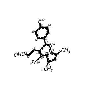 Cc1cc(C)n2nc(-c3ccc(F)cc3)c(/C=C/C=O)c(C(C)C)c12